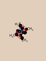 Cc1cc(C)c(B2c3cc4oc5cc(C)ccc5c4cc3N3c4cc5ccccc5c5c4N(c4cc6c(cc4B5c4c(C)cc(C)cc4C)oc4cc(C)ccc46)c4cc5ccccc5c2c43)c(C)c1